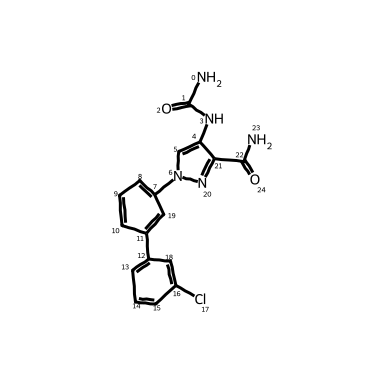 NC(=O)Nc1cn(-c2cccc(-c3cccc(Cl)c3)c2)nc1C(N)=O